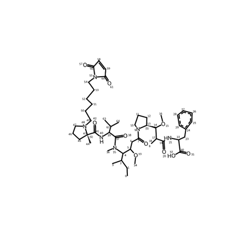 CCC(C)C(C(CC(=O)N1CCC[C@H]1C(OC)C(C)C(=O)NC(Cc1ccccc1)C(=O)O)OC)N(C)C(=O)C(NC(=O)[C@]1(C)CCCN1CCCCCCN1C(=O)C=CC1=O)C(C)C